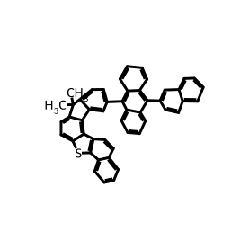 CC1(C)c2ccc(-c3c4ccccc4c(-c4ccc5ccccc5c4)c4ccccc34)cc2-c2c1ccc1sc3c4ccccc4ccc3c21